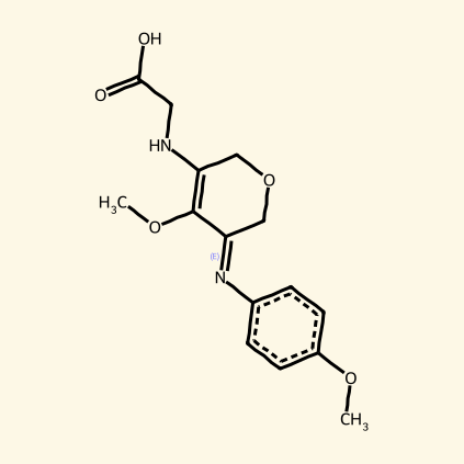 COC1=C(NCC(=O)O)COC/C1=N\c1ccc(OC)cc1